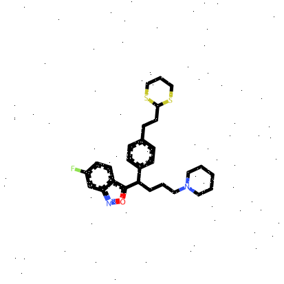 Fc1ccc2c(C(CCCN3CCCCC3)c3ccc(CCC4SCCCS4)cc3)onc2c1